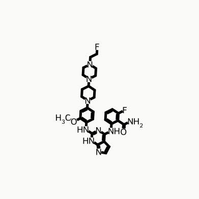 COc1cc(N2CCC(N3CCN(CCF)CC3)CC2)ccc1Nc1nc(Nc2cccc(F)c2C(N)=O)c2ccnc-2[nH]1